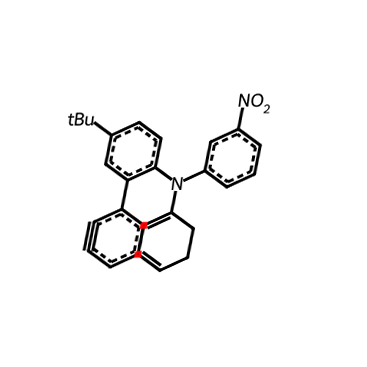 CC(C)(C)c1ccc(N(C2=CC=CCC2)c2cccc([N+](=O)[O-])c2)c(-c2c#cccc2)c1